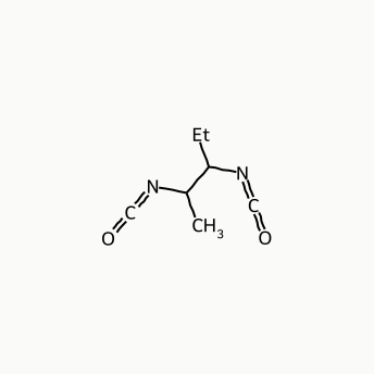 CCC(N=C=O)C(C)N=C=O